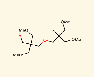 COCC(C)(COC)COCC(CO)(COC)COC